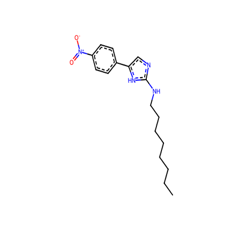 CCCCCCCCNc1ncc(-c2ccc([N+](=O)[O-])cc2)[nH]1